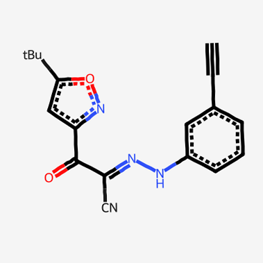 C#Cc1cccc(N/N=C(\C#N)C(=O)c2cc(C(C)(C)C)on2)c1